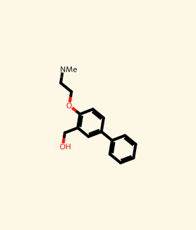 CNCCOc1ccc(-c2ccccc2)cc1CO